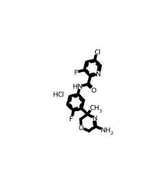 CC1(c2cc(NC(=O)c3ncc(Cl)cc3F)ccc2F)COCC(N)=N1.Cl